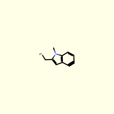 CC(C)Cc1cc2c#cccc2n1C